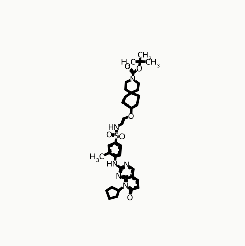 Cc1cc(S(=O)(=O)NCCOC2CCC3(CC2)CCN(C(=O)OC(C)(C)C)CC3)ccc1Nc1ncc2ccc(=O)n(C3CCCC3)c2n1